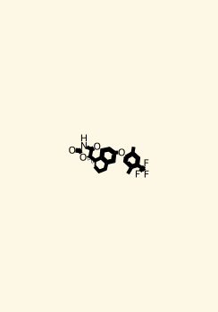 Cc1cc(C(F)(F)F)c(C)cc1Oc1ccc2c(c1)CCC[C@H]2[C@@H]1OC(=O)NC1=O